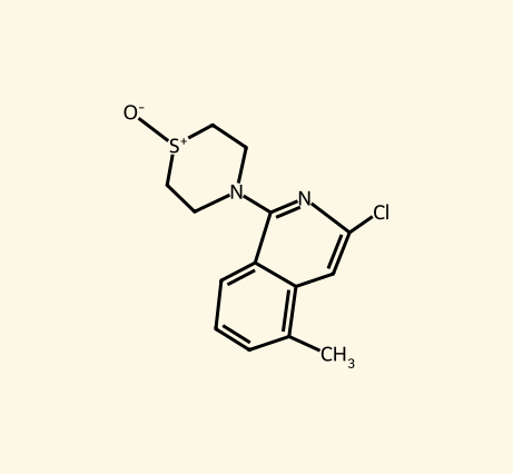 Cc1cccc2c(N3CC[S+]([O-])CC3)nc(Cl)cc12